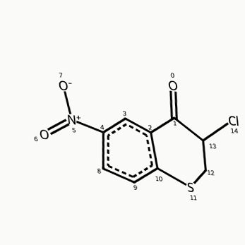 O=C1c2cc([N+](=O)[O-])ccc2SCC1Cl